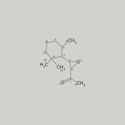 CC(=O)C1OC1C1C(C)CCCC1(C)C